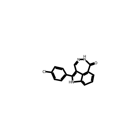 O=C1NN=Cc2c(-c3ccc(Cl)cc3)[nH]c3cccc1c23